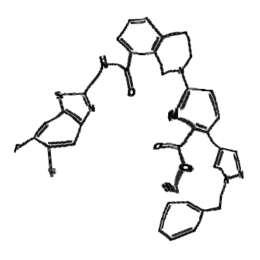 CC(C)(C)OC(=O)c1nc(N2CCc3cccc(C(=O)Nc4nc5cc(F)c(F)cc5s4)c3C2)ccc1-c1cnn(Cc2ccccc2)c1